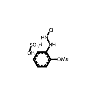 COc1ccccc1NNCl.O=S(=O)(O)O